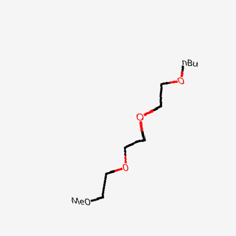 CCCCOCCOCCOCCOC